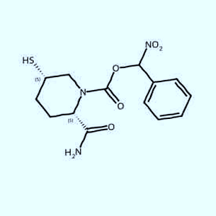 NC(=O)[C@@H]1CC[C@H](S)CN1C(=O)OC(c1ccccc1)[N+](=O)[O-]